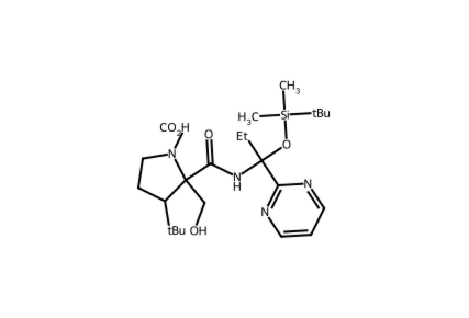 CCC(NC(=O)C1(CO)C(C(C)(C)C)CCN1C(=O)O)(O[Si](C)(C)C(C)(C)C)c1ncccn1